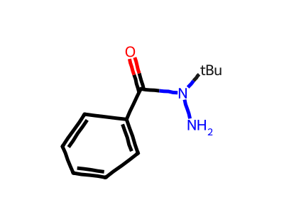 CC(C)(C)N(N)C(=O)c1ccccc1